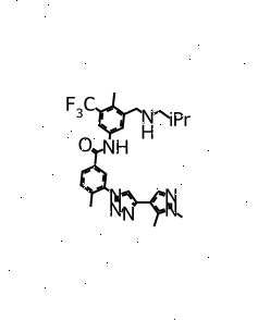 Cc1ccc(C(=O)Nc2cc(CNCC(C)C)c(C)c(C(F)(F)F)c2)cc1-n1cc(-c2cnn(C)c2C)nn1